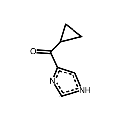 O=C(c1c[nH][c]n1)C1CC1